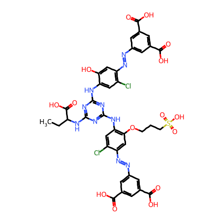 CCC(Nc1nc(Nc2cc(Cl)c(N=Nc3cc(C(=O)O)cc(C(=O)O)c3)cc2O)nc(Nc2cc(Cl)c(N=Nc3cc(C(=O)O)cc(C(=O)O)c3)cc2OCCCS(=O)(=O)O)n1)C(=O)O